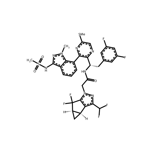 CSc1cnc([C@H](Cc2cc(F)cc(F)c2)NC(=O)Cn2nc(C(F)F)c3c2C(F)(F)[C@@H]2C[C@H]32)c(-c2cccc3c(NS(C)(=O)=O)nn(C)c23)n1